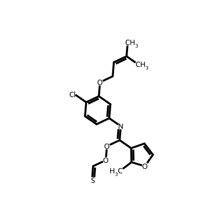 CC(C)=CCOc1cc(N=C(OOC=S)c2ccoc2C)ccc1Cl